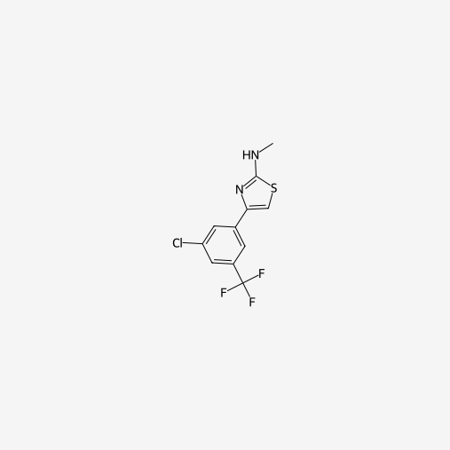 CNc1nc(-c2cc(Cl)cc(C(F)(F)F)c2)cs1